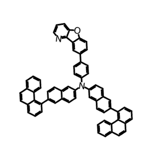 c1ccc2c(c1)ccc1cccc(-c3ccc4cc(N(c5ccc(-c6ccc7oc8cccnc8c7c6)cc5)c5ccc6cc(-c7cccc8ccc9ccccc9c78)ccc6c5)ccc4c3)c12